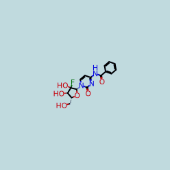 O=C(Nc1ccn([C@@H]2O[C@H](CO)[C@@H](O)[C@]2(O)F)c(=O)n1)c1ccccc1